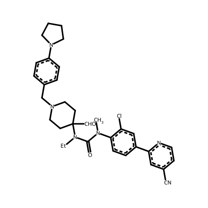 CCN(C(=O)N(C)c1ccc(-c2cc(C#N)ccn2)cc1Cl)C1(C=O)CCN(Cc2ccc(N3CCCC3)cc2)CC1